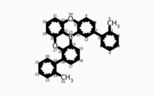 Cc1ccccc1-c1ccc2c(c1)B1c3cccc(-c4ccccc4C)c3Oc3cccc(c31)O2